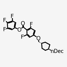 CCCCCCCCCC[C@H]1CC[C@H](COc2cc(F)c(C(=O)Oc3cc(F)c(F)c(F)c3)c(F)c2)CC1